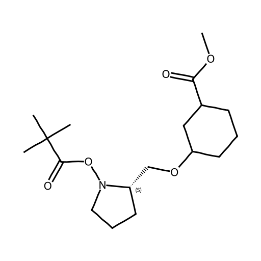 COC(=O)C1CCCC(OC[C@@H]2CCCN2OC(=O)C(C)(C)C)C1